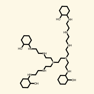 OC1CCCCC1NCCNCCNCCN(CCNC1CCCCC1O)CCN(CCNCCNC1CCCCC1O)CCNCCNC1CCCCC1O